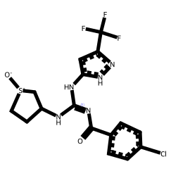 O=C(/N=C(/Nc1cc(C(F)(F)F)n[nH]1)NC1CC[S+]([O-])C1)c1ccc(Cl)cc1